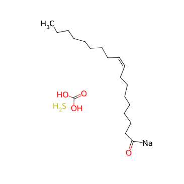 CCCCCCCC/C=C\CCCCCCC[C](=O)[Na].O=C(O)O.S